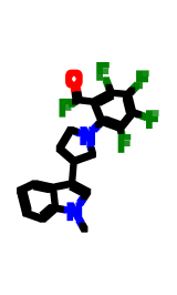 Cn1cc(C2CCN(c3c(F)c(F)c(F)c(F)c3C(=O)F)C2)c2ccccc21